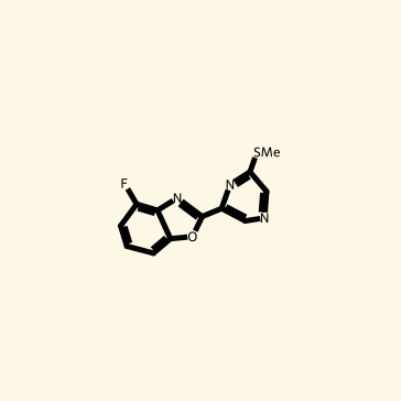 CSc1cncc(-c2nc3c(F)cccc3o2)n1